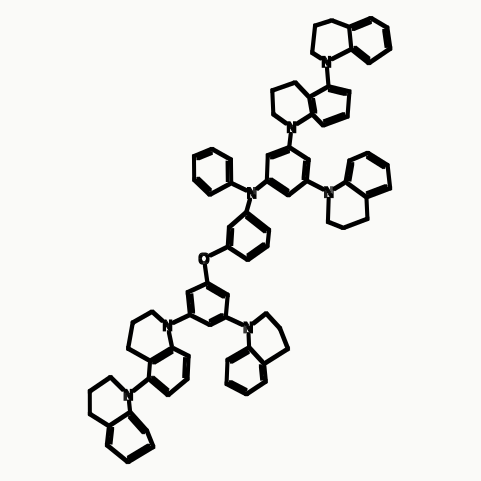 c1ccc(N(c2cccc(Oc3cc(N4CCCc5ccccc54)cc(N4CCCc5c4cccc5N4CCCc5ccccc54)c3)c2)c2cc(N3CCCc4ccccc43)cc(N3CCCc4c3cccc4N3CCCc4ccccc43)c2)cc1